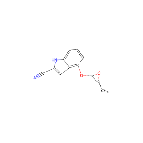 CC1OC1Oc1cccc2[nH]c(C#N)cc12